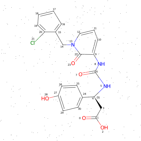 O=C(O)C[C@H](NC(=O)Nc1cccn(Cc2ccccc2Cl)c1=O)c1ccc(O)cc1